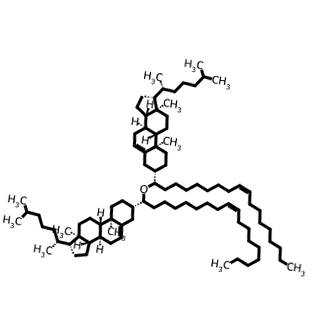 CCCCCCCC/C=C\CCCCCCCC(OC(CCCCCCC/C=C\CCCCCCCC)[C@H]1CC[C@@]2(C)C(=CC[C@H]3[C@@H]4CC[C@H]([C@H](C)CCCC(C)C)[C@@]4(C)CC[C@@H]32)C1)[C@H]1CC[C@@]2(C)C(=CC[C@H]3[C@@H]4CC[C@H]([C@H](C)CCCC(C)C)[C@@]4(C)CC[C@@H]32)C1